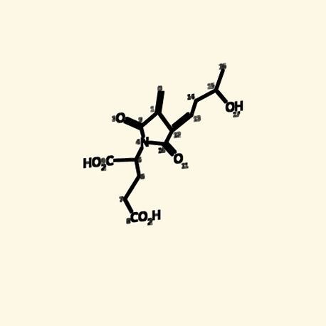 C=C1C(=O)N(C(CCC(=O)O)C(=O)O)C(=O)/C1=C/CC(C)O